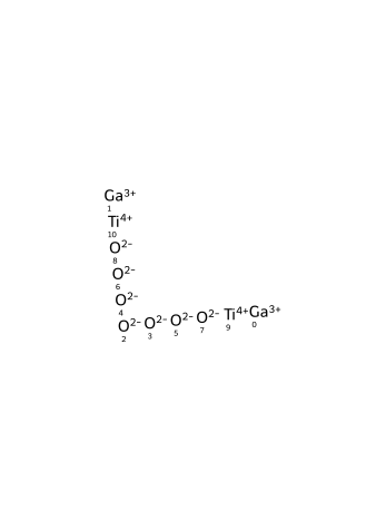 [Ga+3].[Ga+3].[O-2].[O-2].[O-2].[O-2].[O-2].[O-2].[O-2].[Ti+4].[Ti+4]